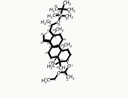 CCOC(C)O[C@H]1CC[C@]2(C)C3=C(CC[C@H]2C1(C)C)C1=CC[C@H]([C@H](C)O[Si](C)(C)C(C)(C)C)[C@@]1(C)CC3